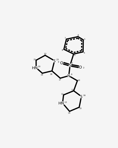 O=S(=O)(c1ccccc1)N(CC1CNCCS1)CC1CNCCS1